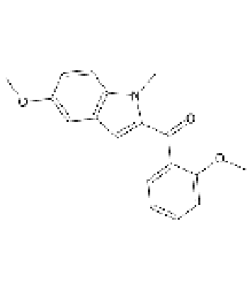 COc1ccc2c(c1)cc(C(=O)c1ccccc1OC)n2C